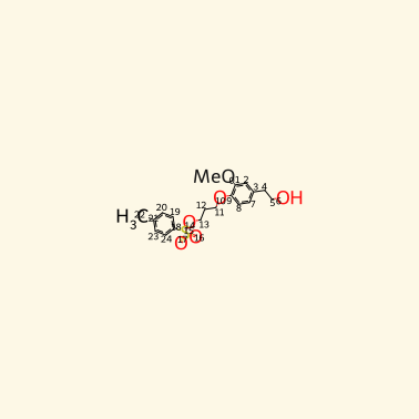 COc1cc(CCO)ccc1OCCCOS(=O)(=O)c1ccc(C)cc1